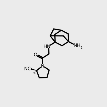 N#C[C@@H]1CCCN1C(=O)CNC12CC3CC1CC(N)(C3)C2